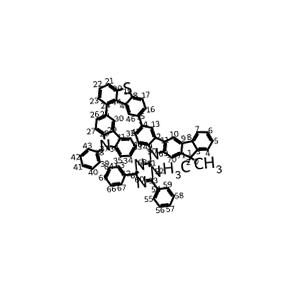 CC1(C)c2ccccc2-c2cc3c4cc(-c5ccc6sc7cccc(-c8ccc9c(c8)c8ccccc8n9-c8ccccc8)c7c6c5)ccc4n(-c4nc(-c5ccccc5)nc(-c5ccccc5)n4)c3cc21